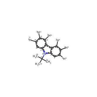 [2H]c1cc2c(c([2H])c1[2H])c1c([2H])c([2H])c([2H])cc1n2C(C)(C)C